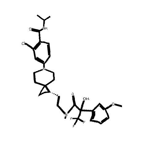 COc1cccc(C(O)(C(=O)N(C)CC[C@@H]2CC23CCN(c2ccc(C(=O)NC(C)C)c(Cl)c2)CC3)C(F)(F)F)c1